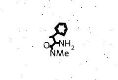 CNC(=O)C(N)C(C)c1ccccc1